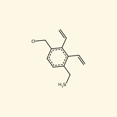 C=Cc1c(C[SiH3])ccc(CCl)c1C=C